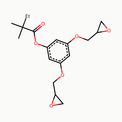 CCC(C)(C)C(=O)Oc1cc(OCC2CO2)cc(OCC2CO2)c1